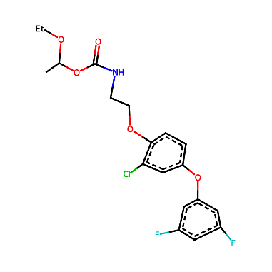 CCOC(C)OC(=O)NCCOc1ccc(Oc2cc(F)cc(F)c2)cc1Cl